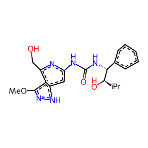 COc1n[nH]c2cc(NC(=O)N[C@H](c3ccccc3)[C@H](O)C(C)C)nc(CO)c12